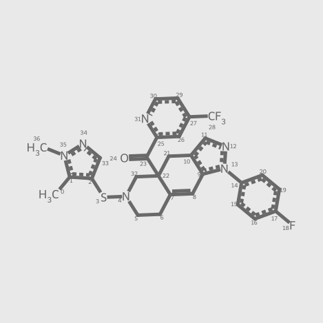 Cc1c(SN2CCC3=Cc4c(cnn4-c4ccc(F)cc4)CC3(C(=O)c3cc(C(F)(F)F)ccn3)C2)cnn1C